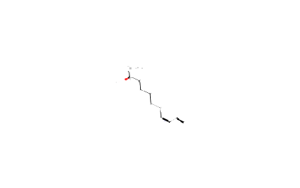 C=C/C=C\CCCCCC(=O)CCCCCC